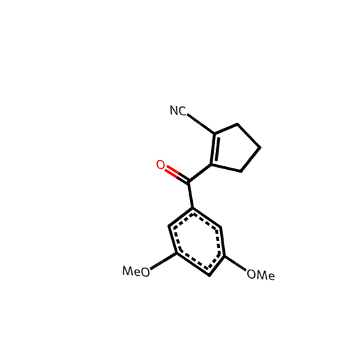 COc1cc(OC)cc(C(=O)C2=C(C#N)CCC2)c1